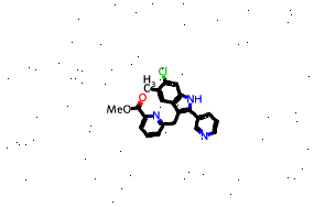 COC(=O)c1cccc(Cc2c(-c3cccnc3)[nH]c3cc(Cl)c(C)cc23)n1